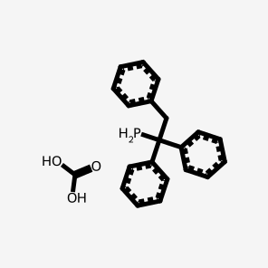 O=C(O)O.PC(Cc1ccccc1)(c1ccccc1)c1ccccc1